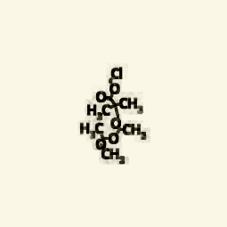 COC(C)OC(C)OCC(C)(C)C(=O)OCCl